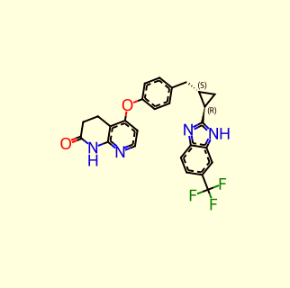 O=C1CCc2c(Oc3ccc(C[C@@H]4C[C@H]4c4nc5ccc(C(F)(F)F)cc5[nH]4)cc3)ccnc2N1